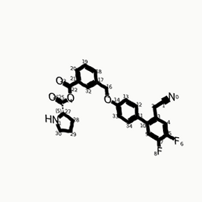 N#CCc1cc(F)c(F)cc1-c1ccc(OCc2cccc(C(=O)OC(=O)[C@@H]3CCCN3)c2)cc1